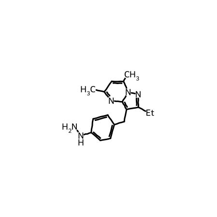 CCc1nn2c(C)cc(C)nc2c1Cc1ccc(NN)cc1